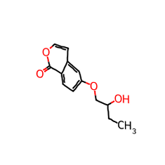 CCC(O)COc1ccc2c(=O)occc2c1